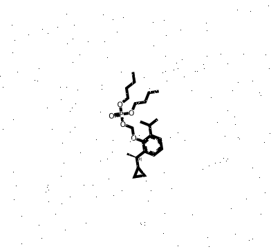 CCCCOP(=O)(OCCCC)OCOc1c(C(C)C)cccc1[C@H](C)C1CC1